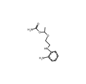 CC(OCCNc1ccccc1N)OC(N)=O